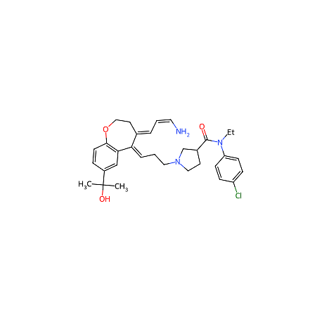 CCN(C(=O)C1CCN(CC\C=C2/C(=C/C=C\N)CCOc3ccc(C(C)(C)O)cc32)C1)c1ccc(Cl)cc1